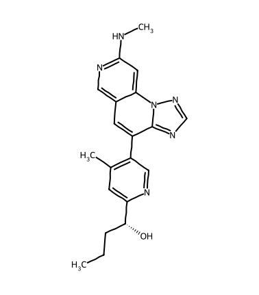 CCC[C@@H](O)c1cc(C)c(-c2cc3cnc(NC)cc3n3ncnc23)cn1